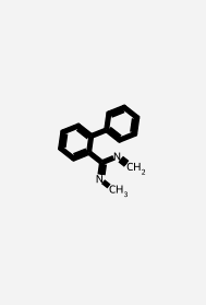 C=N/C(=N\C)c1ccccc1-c1ccccc1